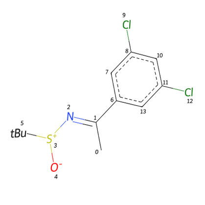 C/C(=N\[S+]([O-])C(C)(C)C)c1cc(Cl)cc(Cl)c1